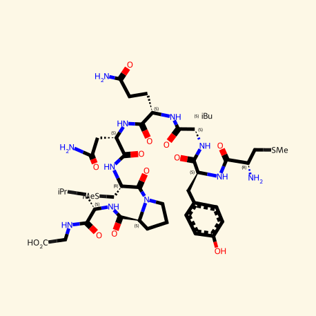 CC[C@H](C)[C@H](NC(=O)[C@H](Cc1ccc(O)cc1)NC(=O)[C@@H](N)CSC)C(=O)N[C@@H](CCC(N)=O)C(=O)N[C@@H](CC(N)=O)C(=O)N[C@@H](CSC)C(=O)N1CCC[C@H]1C(=O)N[C@@H](CC(C)C)C(=O)NCC(=O)O